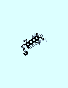 CN(CCN1CCCC1)Cc1cc(O)c2c(c1N(C)C)CC1C[C@H]3CC(O)=C(C(N)=O)C(=O)[C@@]3(O)C(O)=C1C2=O